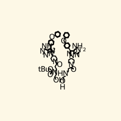 CC(C)(C)OC(=O)N(CCO)CCC(=O)N1CCC(n2nc(-c3ccc(Oc4ccccc4)cc3)c3c(N)ncnc32)CC1.Nc1ncnc2c1c(-c1ccc(Oc3ccccc3)cc1)nn2C1CCN(C(=O)CCNCCO)CC1